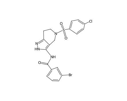 O=C(Nc1[nH]nc2c1CN(S(=O)(=O)c1ccc(Cl)cc1)CC2)c1cccc(Br)c1